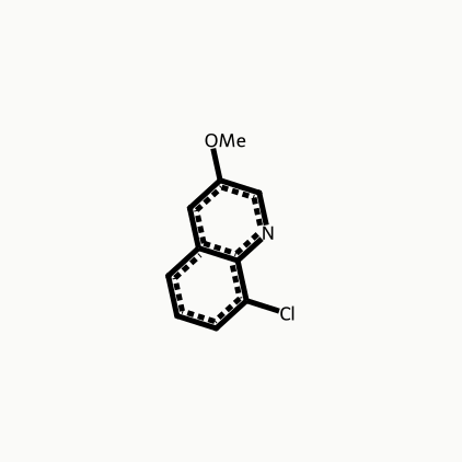 COc1cnc2c(Cl)cccc2c1